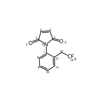 O=C1C=CC(=O)N1c1ccccc1CC(F)(F)F